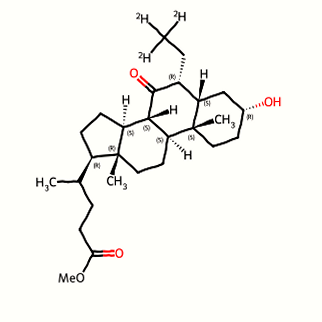 [2H]C([2H])([2H])C[C@H]1C(=O)[C@@H]2[C@H](CC[C@]3(C)[C@@H](C(C)CCC(=O)OC)CC[C@@H]23)[C@@]2(C)CC[C@@H](O)C[C@@H]12